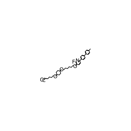 [CH2+][CH-]CCCCCOC1CCC(OCCCCCCOc2ccc(-c3ccc(-c4ccc(C)cc4)cc3)nc2F)CC1